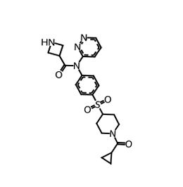 O=C(C1CC1)N1CCC(S(=O)(=O)c2ccc(N(C(=O)C3CNC3)c3cccnn3)cc2)CC1